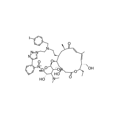 CC[C@H]1OC(=O)C[C@@H](O)[C@H](C)[C@@H](O[C@@H]2O[C@H](C)[C@@H](O)C(N(C)C)C2O)[C@@H](CCN(CCn2cc(-c3ccccc3[N+](=O)[O-])nn2)Cc2ccc(I)cc2)C[C@@H](C)C(=O)/C=C/C(C)=C/[C@@H]1CO